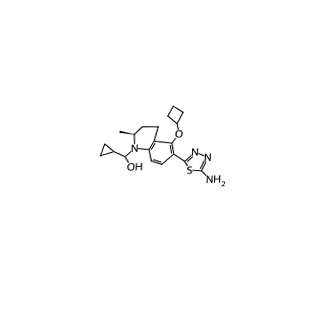 C[C@H]1CCc2c(ccc(-c3nnc(N)s3)c2OC2CCC2)N1C(O)C1CC1